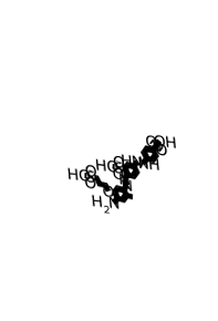 Cc1cc(N)c(OCCCS(=O)(=O)O)cc1N=Nc1ccc(NNc2ccc(S(=O)(=O)O)cc2)cc1S(=O)(=O)O